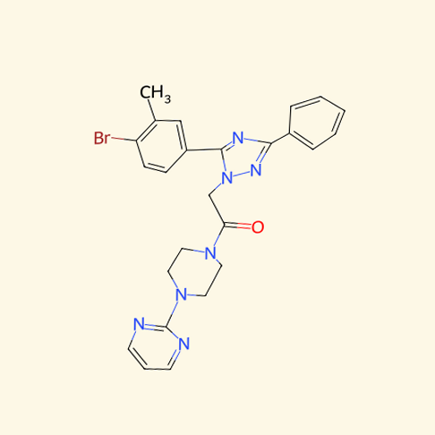 Cc1cc(-c2nc(-c3ccccc3)nn2CC(=O)N2CCN(c3ncccn3)CC2)ccc1Br